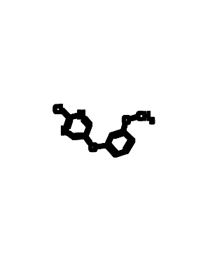 COc1cccc(Oc2cnc(Cl)nc2)c1